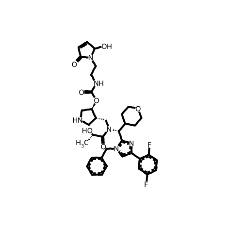 C[C@H](O)C(=O)N(C[C@@H]1CNC[C@H]1OC(=O)NCCN1C(=O)C=CC1O)[C@@H](c1nc(-c2cc(F)ccc2F)cn1Cc1ccccc1)C1CCOCC1